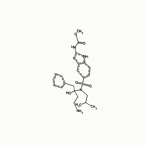 COC(=O)Nc1nc2cc(S(=O)(=O)N(CC(C)C)C(O)(CCN)Cc3ccccc3)ccc2[nH]1